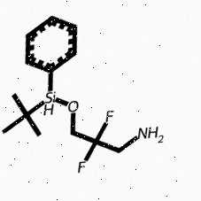 CC(C)(C)[SiH](OCC(F)(F)CN)c1ccccc1